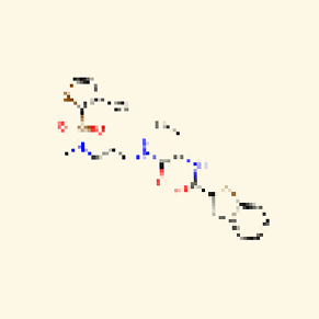 CC(C)C[C@H](NC(=O)c1cc2ccccc2s1)C(=O)NCCCN(C)S(=O)(=O)c1sccc1C#N